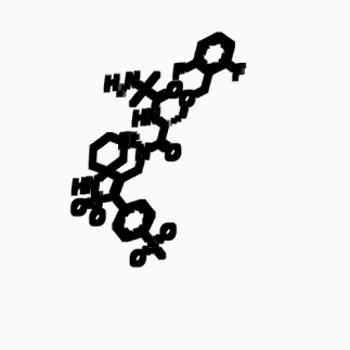 CCN(CC1=C(c2ccc(S(C)(=O)=O)cc2)S(=O)(=O)NC12CCCCC2)C(=O)[C@@H](COCc1c(F)cccc1F)NC(=O)C(C)(C)N